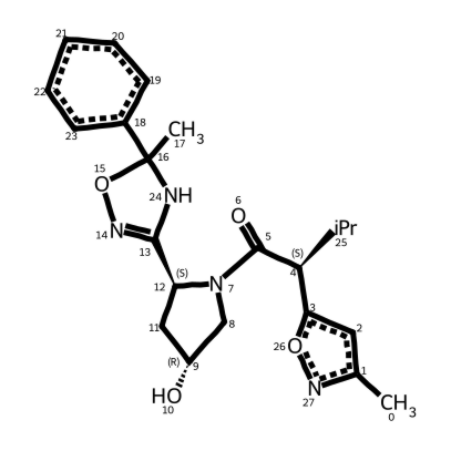 Cc1cc([C@@H](C(=O)N2C[C@H](O)C[C@H]2C2=NOC(C)(c3ccccc3)N2)C(C)C)on1